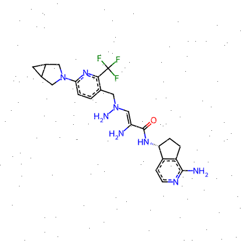 N/C(=C\N(N)Cc1ccc(N2CC3CC3C2)nc1C(F)(F)F)C(=O)N[C@@H]1CCc2c1ccnc2N